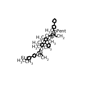 C=CC(=O)OC(COc1ccc(-c2ccc(C(C)(C)CC)cc2)cc1)COc1c(C)c(C)c2c(c1C)C(c1ccccc1)c1c(C)c(OCC(COC(C)(CCCCC)c3ccc(-c4ccccc4)cc3)OC(=O)C=C)c(C)c(C)c1O2